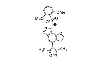 COc1cccc(OC)c1S(=O)(=O)Nc1noc2cc(-c3c(C)noc3C)c3c(c12)OCC3